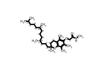 CNC(=O)COc1c(C)c(C)c2c(c1C)CC[C@@](C)(CCC[C@H](C)CCC[C@H](C)CCCC(C)C)O2